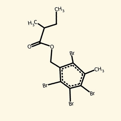 CCC(C)C(=O)OCc1c(Br)c(C)c(Br)c(Br)c1Br